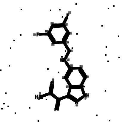 C=C(C(N)=O)c1n[nH]c2ccc(NCc3cc(F)cc(F)c3)cc12